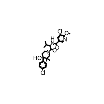 COc1ncc(C(=O)N[C@@H](C(=O)N2CC[C@](O)(c3ccc(Cl)cc3)C(C)(C)C2)C(C)C)cc1Cl